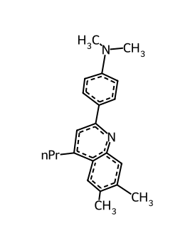 CCCc1cc(-c2ccc(N(C)C)cc2)nc2cc(C)c(C)cc12